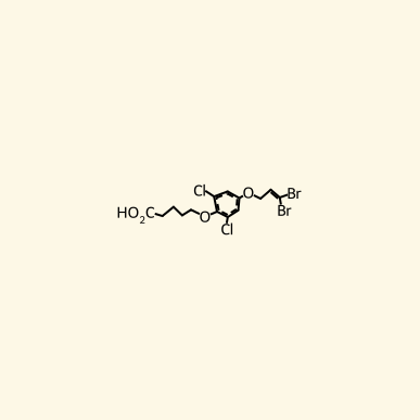 O=C(O)CCCCOc1c(Cl)cc(OCC=C(Br)Br)cc1Cl